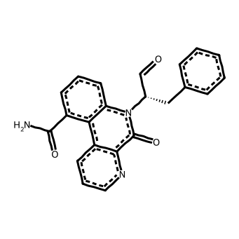 NC(=O)c1cccc2c1c1cccnc1c(=O)n2[C@H](C=O)Cc1ccccc1